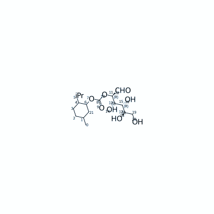 CC1CCC(C(C)C)C(OC(=O)O[C@@H](C=O)[C@@H](O)[C@H](O)[C@H](O)CO)C1